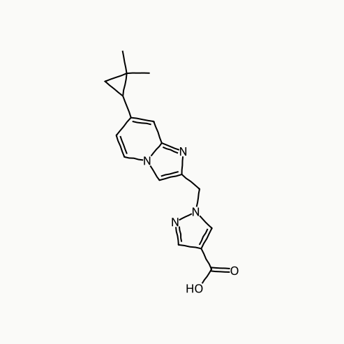 CC1(C)CC1c1ccn2cc(Cn3cc(C(=O)O)cn3)nc2c1